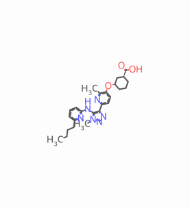 CCCCc1cccc(Nc2c(-c3ccc(O[C@H]4CCC[C@H](C(=O)O)C4)c(C)n3)nnn2C)n1